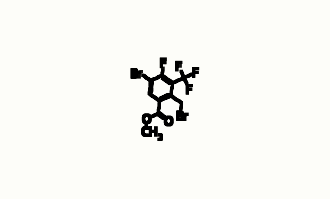 COC(=O)c1cc(Br)c(F)c(C(F)(F)F)c1CBr